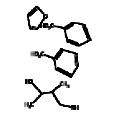 CC(O)C(C)CO.O=C(O)c1ccccc1.O=C(O)c1ccccc1.c1ccoc1